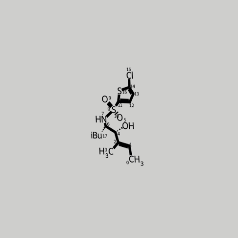 C/C=C(\C)[C@@H](O)C(NS(=O)(=O)c1ccc(Cl)s1)[C@@H](C)CC